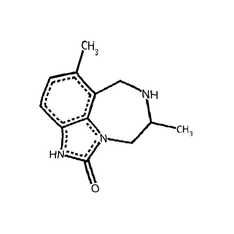 Cc1ccc2[nH]c(=O)n3c2c1CNC(C)C3